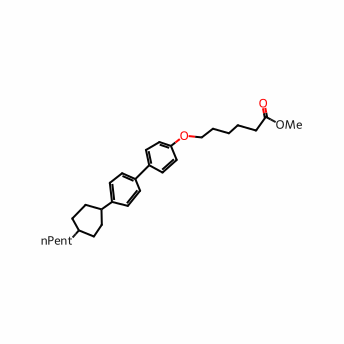 CCCCCC1CCC(c2ccc(-c3ccc(OCCCCCC(=O)OC)cc3)cc2)CC1